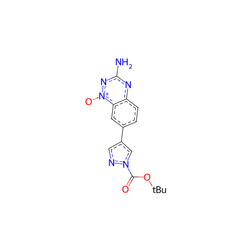 CC(C)(C)OC(=O)n1cc(-c2ccc3nc(N)n[n+]([O-])c3c2)cn1